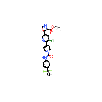 COC(=O)c1ncoc1-c1cnc(C2=CCN(C(=O)Nc3ccc(C(C)(F)F)cc3)CC2)c(Cl)c1